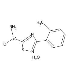 Cc1ccccc1-c1nsc([S+](N)[O-])n1.O